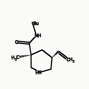 C=C[C@@H]1CNC[C@@](C)(C(=O)NC(C)(C)C)C1